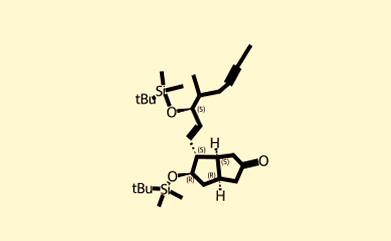 CC#CCC(C)[C@@H](C=C[C@@H]1[C@H]2CC(=O)C[C@H]2C[C@H]1O[Si](C)(C)C(C)(C)C)O[Si](C)(C)C(C)(C)C